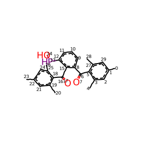 Cc1cc(C)c(C(=O)c2cccc(PO)c2C(=O)c2c(C)cc(C)cc2C)c(C)c1